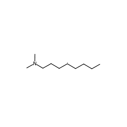 CCCC[CH]CCCN(C)C